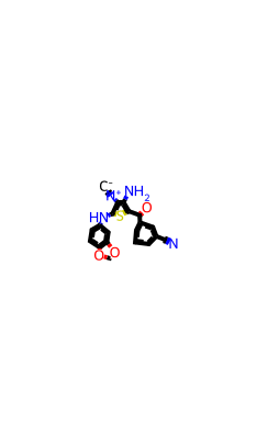 [C-]#[N+]c1c(Nc2ccc3c(c2)OCO3)sc(C(=O)c2cccc(C#N)c2)c1N